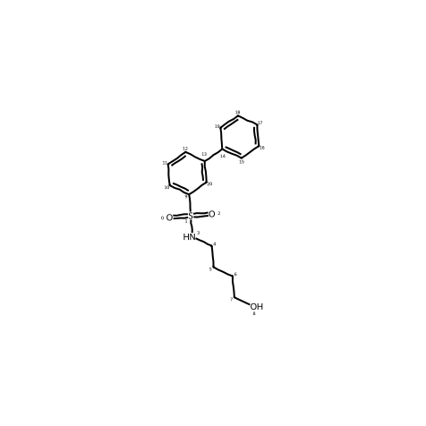 O=S(=O)(NCCCCO)c1cccc(-c2ccccc2)c1